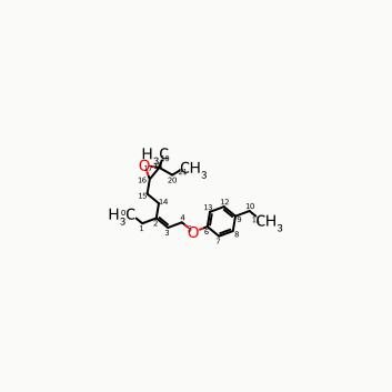 CCC(=CCOc1ccc(CC)cc1)CCC1OC1(C)CC